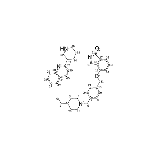 CCC1CCN(Cc2ccc(COc3cccc4c3C=NC4=O)cc2)CC1.c1ccc2nc(C3CCCNC3)ccc2c1